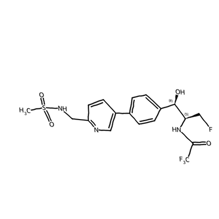 CS(=O)(=O)NCc1ccc(-c2ccc([C@@H](O)[C@@H](CF)NC(=O)C(F)(F)F)cc2)cn1